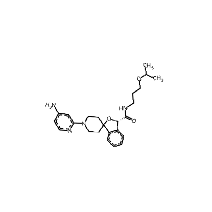 CC(C)OCCCNC(=O)[C@H]1OC2(CCN(c3cc(N)ccn3)CC2)c2ccccc21